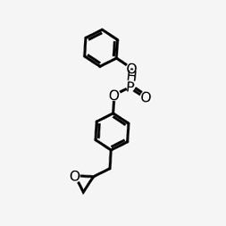 O=[PH](Oc1ccccc1)Oc1ccc(CC2CO2)cc1